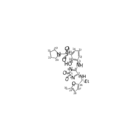 CC[C@@H](NC1=NS(=O)(=O)N=C1Nc1cccc(S(=O)(=O)N2CCCC2)c1O)c1ccc(C)o1